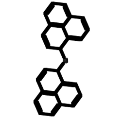 C1=CC(OC2C=Cc3cccc4cccc2c34)c2cccc3cccc1c23